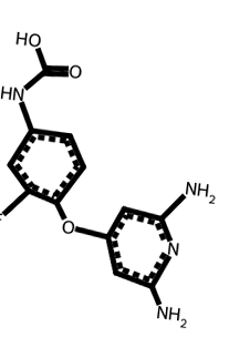 Nc1cc(Oc2ccc(NC(=O)O)cc2F)cc(N)n1